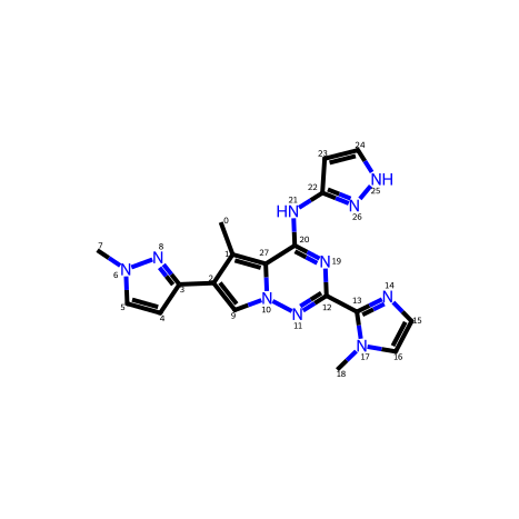 Cc1c(-c2ccn(C)n2)cn2nc(-c3nccn3C)nc(Nc3cc[nH]n3)c12